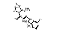 C[C@]1(c2cccc(F)c2)NC(C(=O)N2CC3CC3C2CN)=CS1